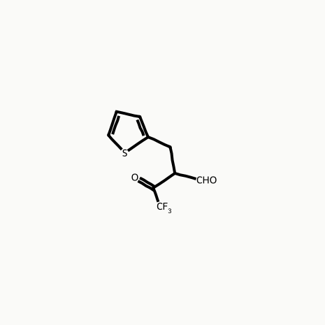 O=CC(Cc1cccs1)C(=O)C(F)(F)F